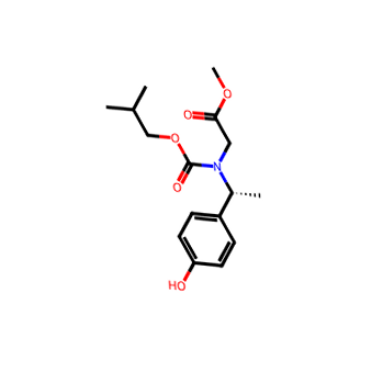 COC(=O)CN(C(=O)OCC(C)C)[C@H](C)c1ccc(O)cc1